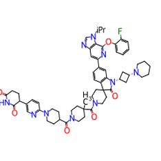 CC(C)n1cnc2cc(-c3ccc4c(c3)N([C@H]3C[C@@H](N5CCCCC5)C3)C(=O)C43CCN(C(=O)C4(C)CCN(C(=O)C5CCN(c6ccc(C7CCC(=O)NC7=O)cn6)CC5)CC4)CC3)nc(Oc3ccccc3F)c21